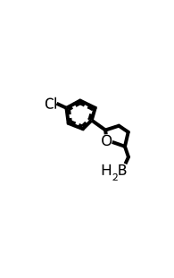 BCC1CCC(c2ccc(Cl)cc2)O1